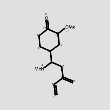 C=CC(=C)CC(NC)C1CCC(=O)C(OC)C1